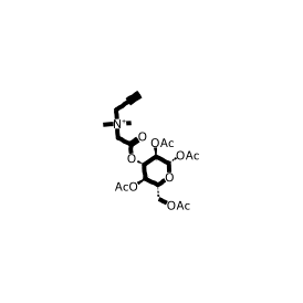 C#CC[N+](C)(C)CC(=O)O[C@@H]1[C@@H](OC(C)=O)[C@H](OC(C)=O)O[C@H](COC(C)=O)[C@H]1OC(C)=O